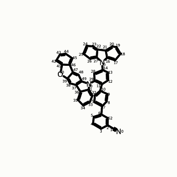 N#Cc1cccc(-c2ccc(-c3ccc(-n4c5ccccc5c5ccccc54)cc3-n3c4ccccc4c4cc5oc6ccccc6c5cc43)cc2)c1